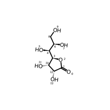 O=C1O[C@H]([C@@H](O)[C@H](O)CO)[C@@H](O)[C@H]1O